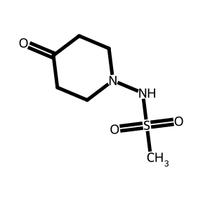 CS(=O)(=O)NN1CCC(=O)CC1